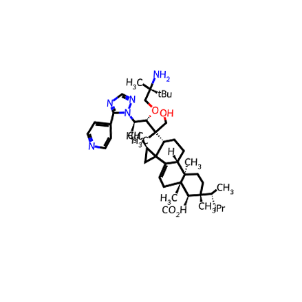 CC(C)[C@@H](C)[C@@]1(C)CC[C@]2(C)[C@H]3CC[C@@H](C(C)(CO)[C@@H](OC[C@](C)(N)C(C)(C)C)[C@@H](C)n4ncnc4-c4ccncc4)C4(C[C@H]4C)C3=CC[C@@]2(C)[C@@H]1C(=O)O